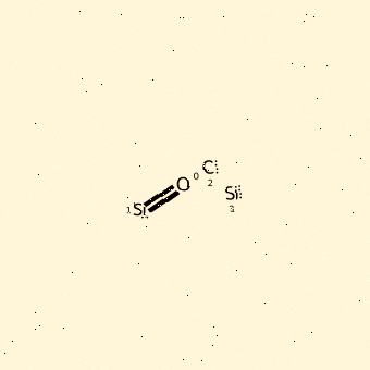 O=[Si].[C].[Si]